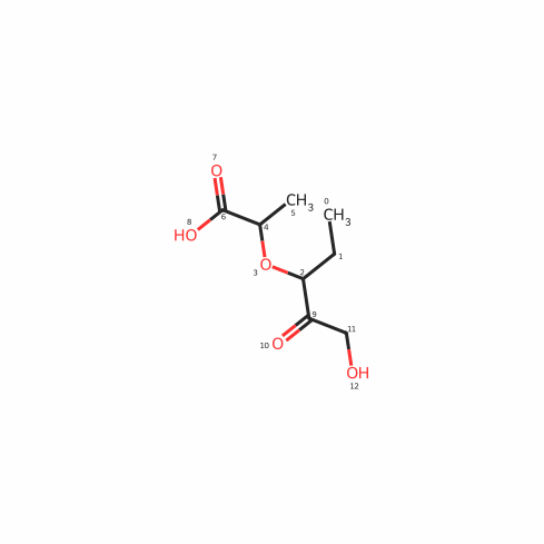 CCC(OC(C)C(=O)O)C(=O)CO